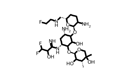 C[C@@H]1C(O)[C@@H](OC2C(O)C(O[C@H]3O[C@H](CNCCF)CCC3N)[C@@H](N)C[C@H]2NC(=N)C(O)C(F)F)OCC1(C)O